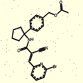 CC(=O)OCc1ccc(C2(NC(=O)C(C#N)=Cc3cccc(Br)n3)CCCC2)cc1